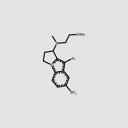 Bc1ccc2c(c1)c(C(C)=O)c1n2CCC1N(C)CCOC